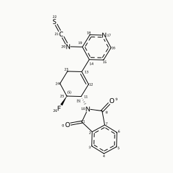 O=C1c2ccccc2C(=O)N1[C@H]1C=C(c2ccncc2N=C=S)CC[C@@H]1F